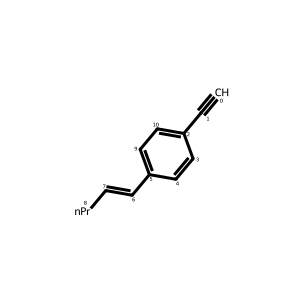 C#Cc1ccc(C=CCCC)cc1